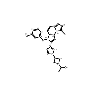 CC(=O)N1CC(n2ccc(C3=CC4C(C=Cc5nnc(C)n54)N3Cc3cccc(Cl)c3)n2)C1